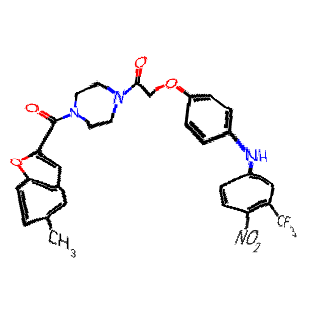 Cc1ccc2oc(C(=O)N3CCN(C(=O)COc4ccc(Nc5ccc([N+](=O)[O-])c(C(F)(F)F)c5)cc4)CC3)cc2c1